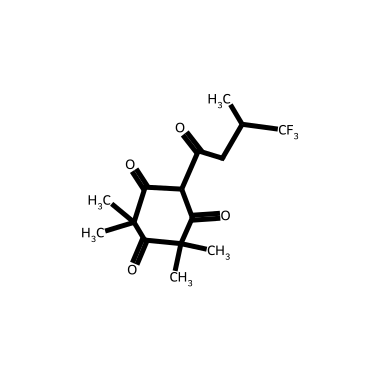 CC(CC(=O)C1C(=O)C(C)(C)C(=O)C(C)(C)C1=O)C(F)(F)F